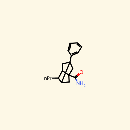 CCCC1C2CC3(c4ccccc4)CC2(C(N)=O)CC13